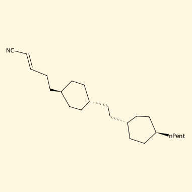 CCCCC[C@H]1CC[C@H](CC[C@H]2CC[C@H](CC/C=C/C#N)CC2)CC1